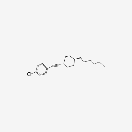 CCCCCC[C@H]1CC[C@H](C#Cc2ccc(Cl)cc2)CC1